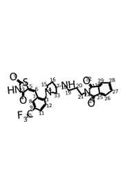 O=C1NC(=O)C(=Cc2cc(C(F)(F)F)ccc2N2CC[C@H](NCCCN3C(=O)c4ccccc4C3=O)C2)S1